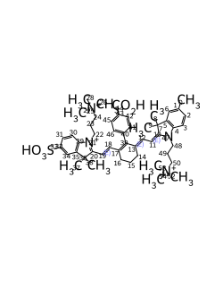 Cc1ccc2c(c1)C(C)(C)/C(=C\C=C1/CCCC(/C=C/C3=[N+](CCC[N+](C)(C)C)c4ccc(S(=O)(=O)O)cc4C3(C)C)=C1c1ccc(C(=O)O)cc1)N2CCC[N+](C)(C)C